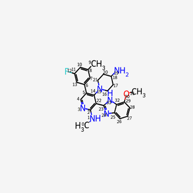 CNc1ncc(-c2cc(C)cc(F)c2)c(N2CCC(N)CC2)c1-c1nc2cccc(OC)c2[nH]1